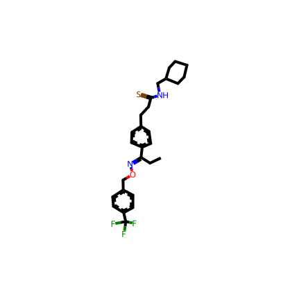 CC/C(=N\OCc1ccc(C(F)(F)F)cc1)c1ccc(CCC(=S)NCC2CCCCC2)cc1